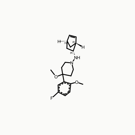 COc1ccc(F)cc1C1(OC)CCN(N[C@@H]2C[C@H]3C=C[C@H]2C3)CC1